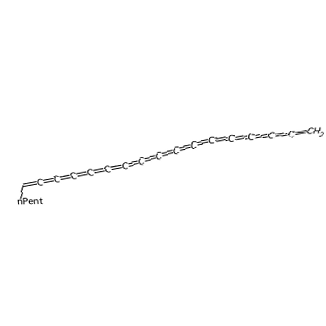 C=C=C=C=C=C=C=C=C=C=C=C=C=C=C=C=CCCCCC